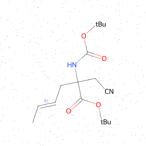 C/C=C/CC(CC#N)(NC(=O)OC(C)(C)C)C(=O)OC(C)(C)C